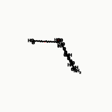 NCC(=O)NCCNC(=O)COCCOCCNC(=O)COCCOCCNC(=O)CC[C@H](NC(=O)CCCCCCCCCCCCCCCCCCCCC(=O)O)C(=O)O